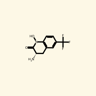 N[C@H]1Cc2cc(C(F)(F)F)ccc2N(O)C1=O